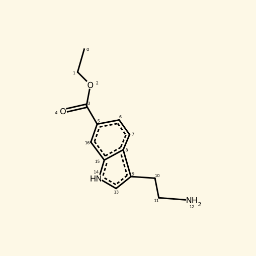 CCOC(=O)c1ccc2c(CCN)c[nH]c2c1